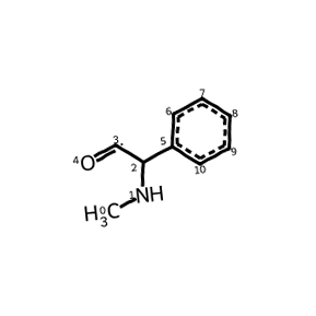 CNC([C]=O)c1ccccc1